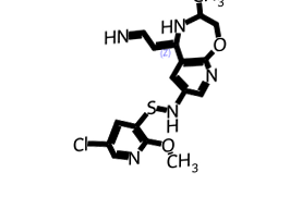 COc1ncc(Cl)cc1SNc1cnc2c(c1)/C(=C/C=N)NC(C)CO2